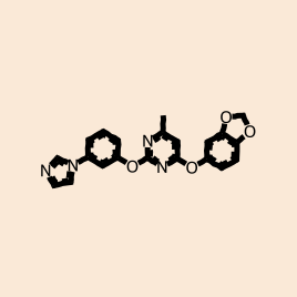 Cc1cc(Oc2ccc3c(c2)OCO3)nc(Oc2cccc(-n3ccnc3)c2)n1